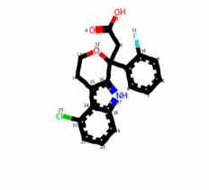 O=C(O)CC1(c2ccccc2F)OCCc2c1[nH]c1cccc(Cl)c21